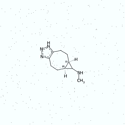 CBC1[C@H]2CCc3nn[nH]c3CC[C@@H]12